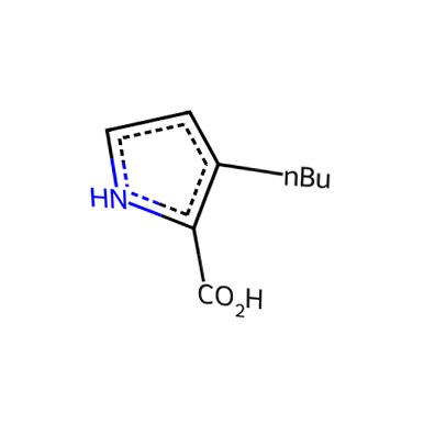 CCCCc1cc[nH]c1C(=O)O